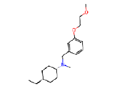 CC[C@H]1CC[C@H](N(C)Cc2cccc(OCCOC)c2)CC1